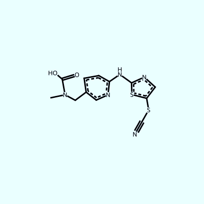 CN(Cc1ccc(Nc2ncc(SC#N)s2)nc1)C(=O)O